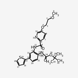 COCCOc1ccc(C(=O)Nc2cc(-c3cccs3)ccc2NC(=O)OC(C)(C)C)nc1